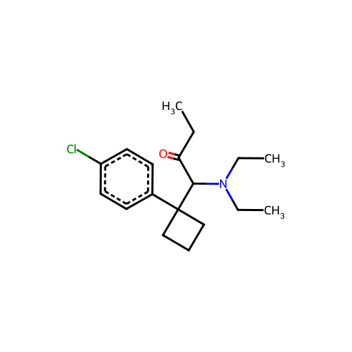 CCC(=O)C(N(CC)CC)C1(c2ccc(Cl)cc2)CCC1